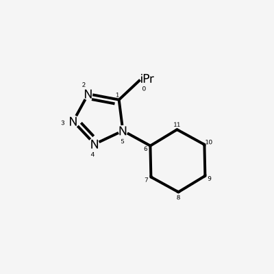 CC(C)c1nnnn1C1CCCCC1